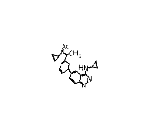 CC(=O)N(C1CC1)C(C)c1cccc(-c2ccc3ncnc(NC4CC4)c3c2)c1